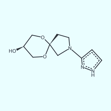 O[C@H]1CO[C@@]2(CCN(c3cc[nH]n3)C2)OC1